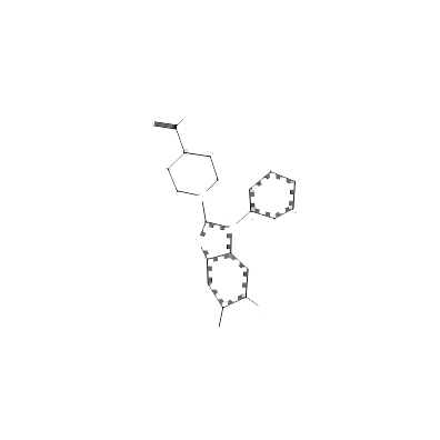 Cc1cc2nc(N3CCC(C(=O)O)CC3)n(-c3ccccc3)c2cc1Cl